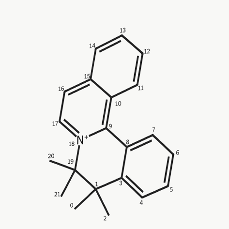 CC1(C)c2ccccc2-c2c3ccccc3cc[n+]2C1(C)C